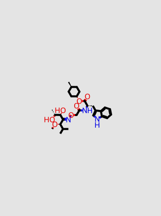 CO[C@H](/C(=N/OCC(=O)N[C@@H](Cc1c[nH]c2ccccc12)C(=O)O[C@H]1CC[C@H](C)CC1)[C@@H](O)[C@@H](C)O)C(C)C